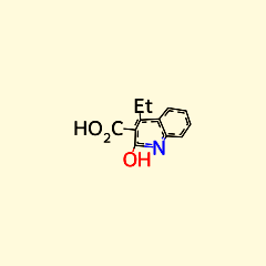 CCc1c(C(=O)O)c(O)nc2ccccc12